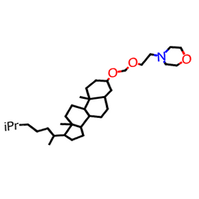 CC(C)CCCC(C)C1CCC2C3CCC4CC(OCOCCN5CCOCC5)CCC4(C)C3CCC12C